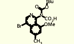 COc1cc(C)cc2c(Br)cnc(N(C(=O)O)C(=O)OC(C)(C)C)c12